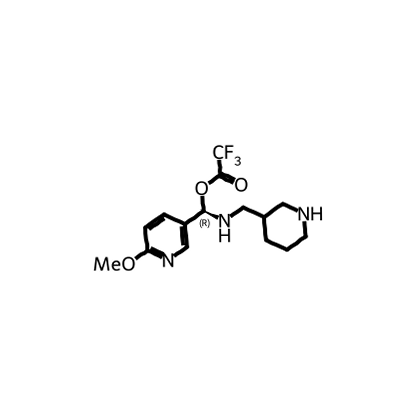 COc1ccc([C@H](NCC2CCCNC2)OC(=O)C(F)(F)F)cn1